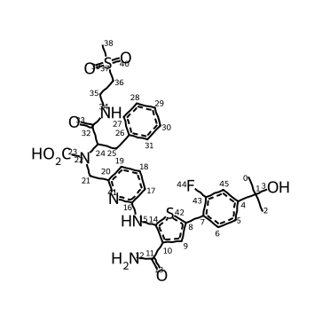 CC(C)(O)c1ccc(-c2cc(C(N)=O)c(Nc3cccc(CN(C(=O)O)C(Cc4ccccc4)C(=O)NCCS(C)(=O)=O)n3)s2)c(F)c1